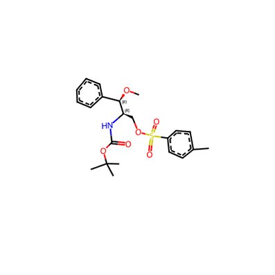 CO[C@H](c1ccccc1)[C@@H](COS(=O)(=O)c1ccc(C)cc1)NC(=O)OC(C)(C)C